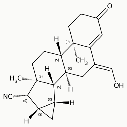 C[C@]12CC[C@H]3[C@@H](CC(=CO)C4=CC(=O)CC[C@@]43C)[C@@H]1[C@@H]1C[C@@H]1[C@@H]2C#N